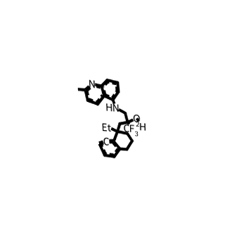 [2H]OC(CNc1cccc2nc(C)ccc12)(CC1(CC)CCCc2ccccc21)C(F)(F)F